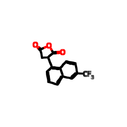 O=C1CC(c2cccc3cc(C(F)(F)F)ccc23)C(=O)O1